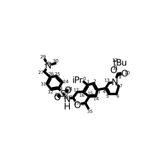 CC(C)c1cc(C2=CCCN(C(=O)OC(C)(C)C)C2)cc2c1CC(NS(=O)(=O)c1ccc(CN(C)C)cc1)OC2C